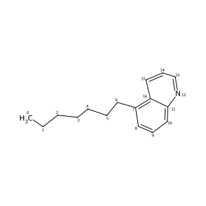 CCCCCCCc1cccc2ncccc12